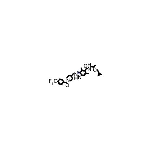 CC1=CC(=N)/C(=C\NCC2CCN(C(=O)c3ccc(C(F)(F)F)cc3)CC2)C(C)=C1C(=O)NCC(C)OCC1CC1